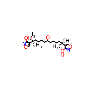 CC(C)(CCCCC(=O)CCCCC(C)(C)c1conc1O)c1conc1O